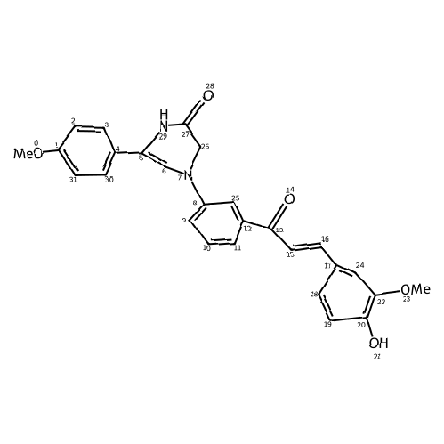 COc1ccc(C2=CN(c3cccc(C(=O)/C=C/c4ccc(O)c(OC)c4)c3)CC(=O)N2)cc1